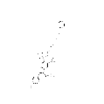 CCOC(=O)c1ccc(OCCOCCOCCN(c2cc3oc(-c4ccc(F)cc4)c(C(=O)NC)c3cc2C2CC2)S(C)(=O)=O)cc1